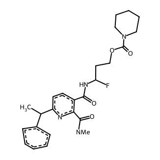 CNC(=O)c1nc(C(C)c2ccccc2)ccc1C(=O)NC(F)CCOC(=O)N1CCCCC1